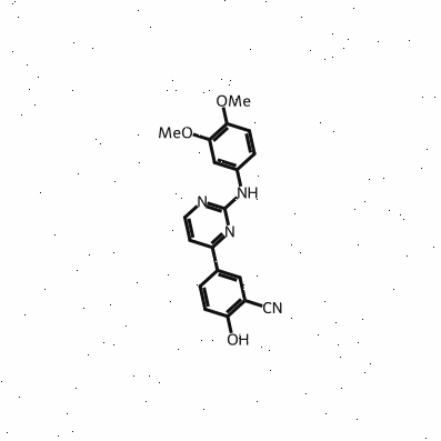 COc1ccc(Nc2nccc(-c3ccc(O)c(C#N)c3)n2)cc1OC